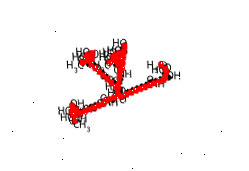 COP(=O)(O)OCC(CO)CCCCNC(=O)CCCCCCCCCCCNC(=O)[C@H](CCCCNC(=O)COCCOCCOCCOC1OC(CO)C(O)C(O)C1NC(C)=O)NC(=O)[C@H](CCCCNC(=O)CC(COCCOCCO)OC1OC(CO)C(O)C(O)C1NC(C)=O)NC(=O)COCCOCCOCCOC1OC(CO)C(O)C(O)C1NC(C)=O